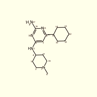 CN1CCC(Nc2cc(C3CCCCC3)nc(N)n2)CC1